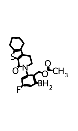 Bc1cc(F)cc(N2CCc3c(sc4c3CCCC4)C2=O)c1COC(C)=O